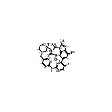 CNC(=O)C[C@]1(C)CN(Cc2ccc(Nc3ncc(F)c(-c4cc(F)c5nc(C)n(C(C)C)c5c4)n3)nc2)CCO1